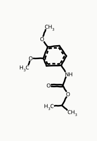 COc1ccc(NC(=O)OC(C)C)cc1OC